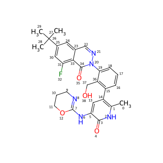 Cc1[nH]c(=O)c(NC2=NCCCO2)cc1-c1cccc(-n2ncc3cc(C(C)(C)C)cc(F)c3c2=O)c1CO